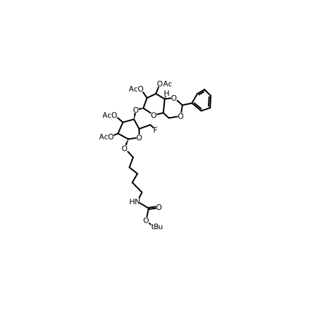 CC(=O)OC1C(OC(C)=O)[C@@H](O[C@@H]2OC3COC(c4ccccc4)O[C@@H]3C(OC(C)=O)C2OC(C)=O)C(CF)O[C@H]1OCCCCCNC(=O)OC(C)(C)C